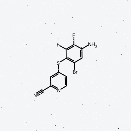 N#Cc1cc(Sc2c(Br)cc(N)c(F)c2F)ccn1